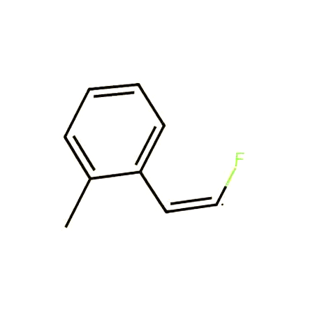 Cc1ccccc1/C=[C]\F